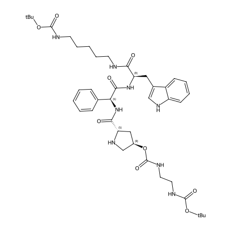 CC(C)(C)OC(=O)NCCCCCNC(=O)[C@@H](Cc1c[nH]c2ccccc12)NC(=O)[C@@H](NC(=O)[C@@H]1C[C@@H](OC(=O)NCCNC(=O)OC(C)(C)C)CN1)c1ccccc1